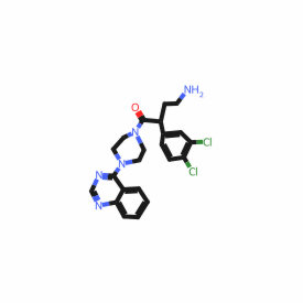 NCCC(C(=O)N1CCN(c2ncnc3ccccc23)CC1)c1ccc(Cl)c(Cl)c1